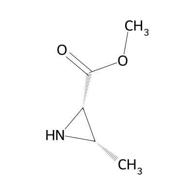 COC(=O)[C@H]1N[C@H]1C